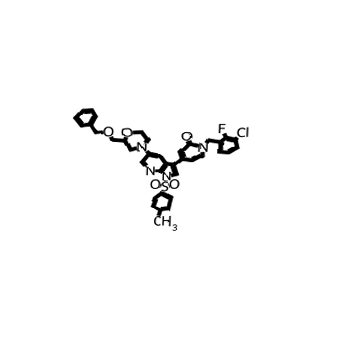 Cc1ccc(S(=O)(=O)n2cc(-c3ccn(Cc4cccc(Cl)c4F)c(=O)c3)c3cc(N4CCOC(COCc5ccccc5)C4)cnc32)cc1